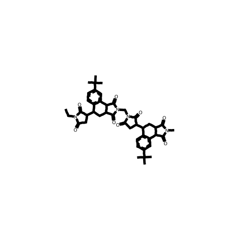 CCN1C(=O)CC(C2CC3C(=O)N(CN4C(=O)CC(C5CC6C(=O)N(C)C(=O)C6c6cc(C(C)(C)C)ccc65)C4=O)C(=O)C3c3cc(C(C)(C)C)ccc32)C1=O